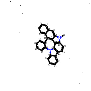 Cn1c2cc3ccccc3c3c4ccccc4n4c5ccccc5c5ccc1c(c32)c54